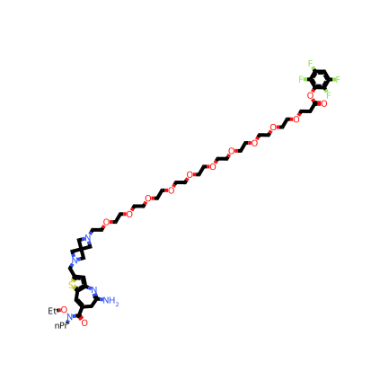 CCCN(OCC)C(=O)C1=Cc2sc(CN3CC4(CN(CCOCCOCCOCCOCCOCCOCCOCCOCCOCCOCCC(=O)Oc5c(F)c(F)cc(F)c5F)C4)C3)cc2N=C(N)C1